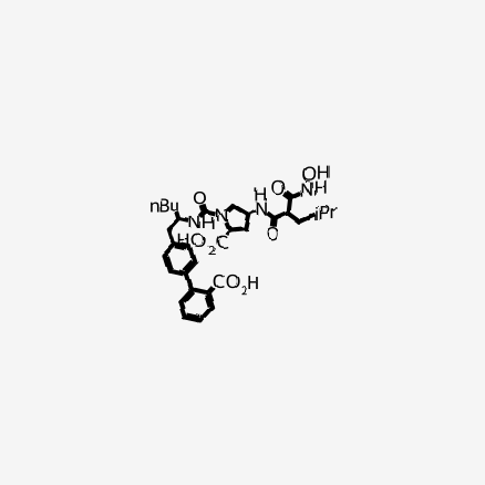 CCCCC(Cc1ccc(-c2ccccc2C(=O)O)cc1)NC(=O)N1C[C@@H](NC(=O)C(CC(C)C)C(=O)NO)C[C@H]1C(=O)O